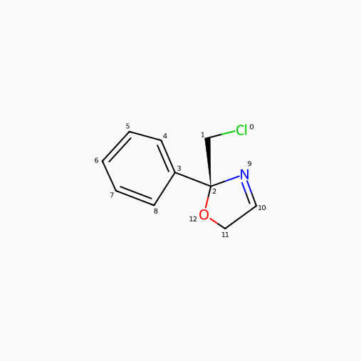 ClC[C@@]1(c2ccccc2)N=CCO1